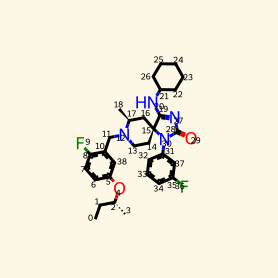 CC[C@@H](C)Oc1ccc(F)c(CN2CC[C@@]3(C[C@@H]2C)C(NC2CCCCC2)=NC(=O)N3c2cccc(F)c2)c1